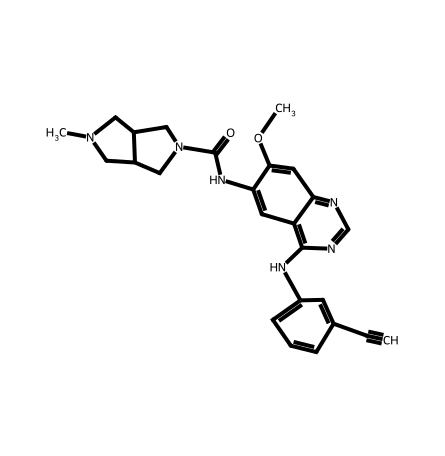 C#Cc1cccc(Nc2ncnc3cc(OC)c(NC(=O)N4CC5CN(C)CC5C4)cc23)c1